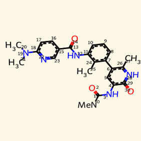 CNC(=O)Nc1cc(-c2cccc(NC(=O)c3ccc(N(C)C)nc3)c2C)c(C)[nH]c1=O